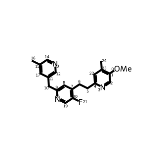 COc1cnc(CCc2cc(Cc3cncc(C)c3)ncc2F)cc1C